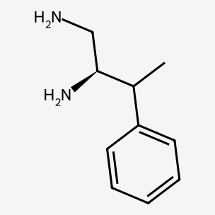 CC(c1ccccc1)[C@@H](N)CN